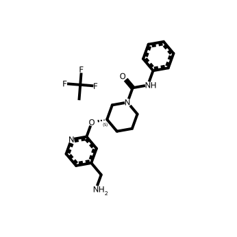 CC(F)(F)F.NCc1ccnc(O[C@H]2CCCN(C(=O)Nc3ccccc3)C2)c1